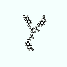 O=C(CCOc1ccc2ccc(=O)oc2c1)OCC(COC(=O)CCOc1ccc2ccc(=O)oc2c1)OC(=O)CCOc1ccc2ccc(=O)oc2c1